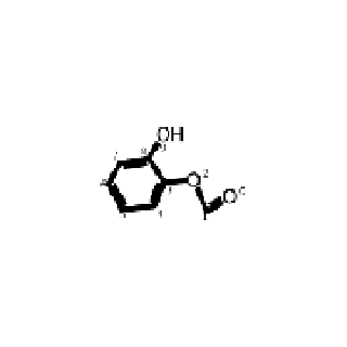 O=[C]Oc1ccccc1O